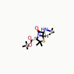 CC1(C)S[C@H]2[C@H](N[Si](C)(C)C)C(=O)N2[C@H]1C(=O)O[Si](C)(C)C